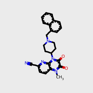 Cn1c(=O)c(=O)n(C2CCN(Cc3cccc4ccccc34)CC2)c2nc(C#N)ccc21